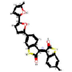 Cc1ccc2c(c1)SC(=O)/C2=C1/C(=O)Sc2cc(-c3ccc(-c4ccc(C)o4)o3)ccc21